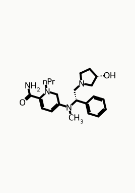 CCCN1CC(N(C)[C@H](CN2CC[C@H](O)C2)c2ccccc2)=CC=C1C(N)=O